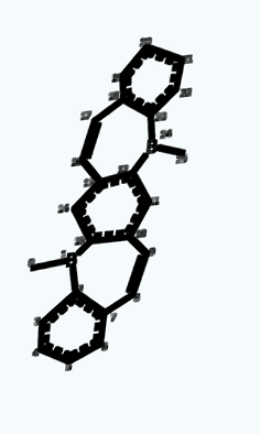 CB1c2ccccc2C=Cc2cc3c(cc21)C=Cc1ccccc1B3C